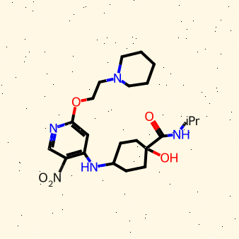 CC(C)NC(=O)C1(O)CCC(Nc2cc(OCCN3CCCCC3)ncc2[N+](=O)[O-])CC1